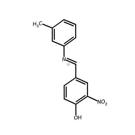 Cc1cccc(/N=C/c2ccc(O)c([N+](=O)[O-])c2)c1